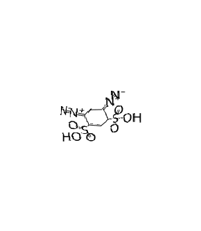 [N-]=[N+]=C1CC(=[N+]=[N-])C(S(=O)(=O)O)C=C1S(=O)(=O)O